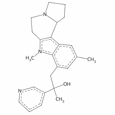 Cc1cc(CC(C)(O)c2cccnc2)c2c(c1)c1c(n2C)CCN2CCCC12